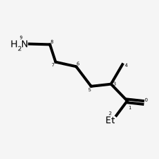 C=C(CC)C(C)CCCCN